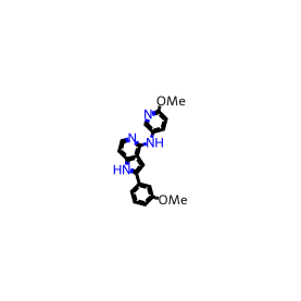 COc1cccc(-c2cc3c(Nc4ccc(OC)nc4)nccc3[nH]2)c1